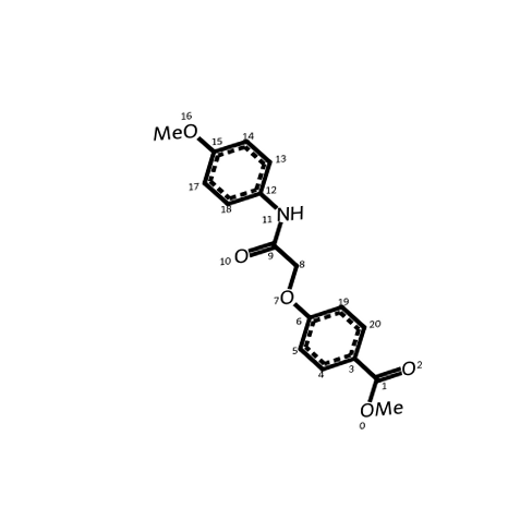 COC(=O)c1ccc(OCC(=O)Nc2ccc(OC)cc2)cc1